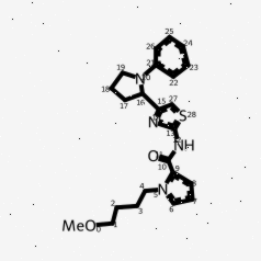 COCCCCn1cccc1C(=O)Nc1nc(C2CCCN2c2ccccc2)cs1